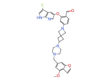 COc1cc(CN2CCN(C3CC4(C3)CN(c3ccc(C=O)c(Oc5cnc6[nH]cc(F)c6c5)c3)C4)CC2)cc2occc12